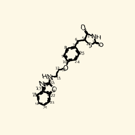 O=C1NC(=O)C(Cc2ccc(OCCNc3nc4ccccc4o3)cc2)S1